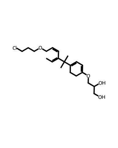 C/C=C(\C=C/COCCCCl)C(C)(C)C1=CC=C(OCC(O)CO)CC1